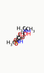 CC(C)NCC1(O)COc2ccc(NS(C)(=O)=O)cc2OC1